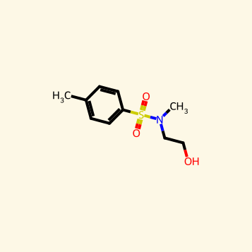 Cc1ccc(S(=O)(=O)N(C)CCO)cc1